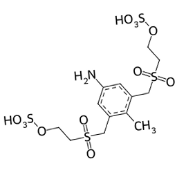 Cc1c(CS(=O)(=O)CCOS(=O)(=O)O)cc(N)cc1CS(=O)(=O)CCOS(=O)(=O)O